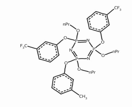 CCCOP1(Oc2cccc(C)c2)=NP(OCCC)(Oc2cccc(C(F)(F)F)c2)=NP(OCCC)(Oc2cccc(C(F)(F)F)c2)=N1